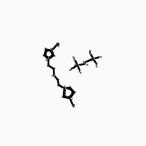 CCn1cc[n+](CCOCC[n+]2ccn(CC)c2)c1.F[B-](F)(F)F.F[B-](F)(F)F